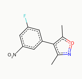 Cc1noc(C)c1-c1cc(F)cc([N+](=O)[O-])c1